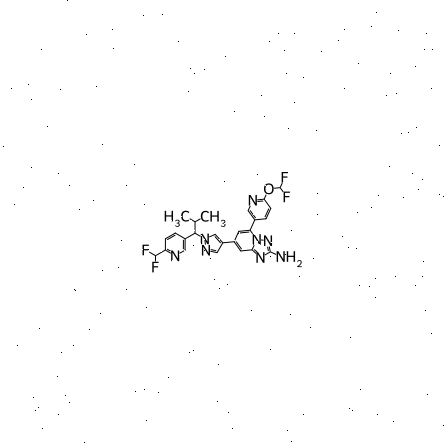 CC(C)C(c1ccc(C(F)F)nc1)n1cc(-c2cc(-c3ccc(OC(F)F)nc3)n3nc(N)nc3c2)cn1